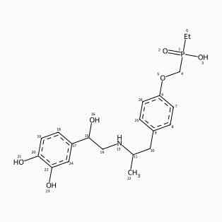 CCP(=O)(O)COc1ccc(CC(C)NCC(O)c2ccc(O)c(O)c2)cc1